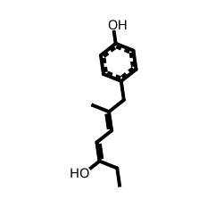 CC/C(O)=C\C=C(/C)Cc1ccc(O)cc1